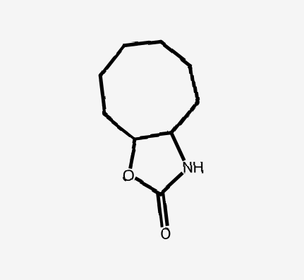 O=C1NC2CCCCCCC2O1